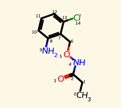 CCC(=O)NOCc1c(N)cccc1Cl